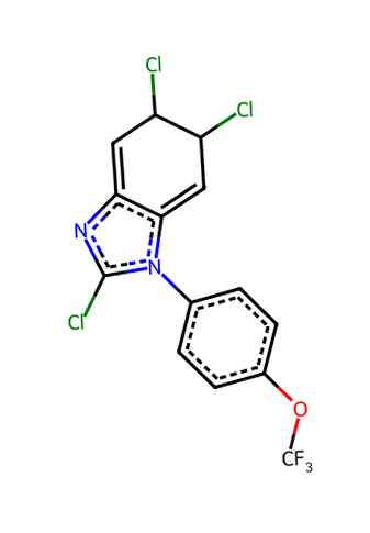 FC(F)(F)Oc1ccc(-n2c(Cl)nc3c2=CC(Cl)C(Cl)C=3)cc1